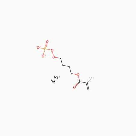 C=C(C)C(=O)OCCCCOOP(=O)([O-])[O-].[Na+].[Na+]